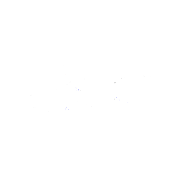 Cn1c(=O)n(CCC[C@@H](N)C(=O)OC(C)(C)C)c(=O)c2ccccc21